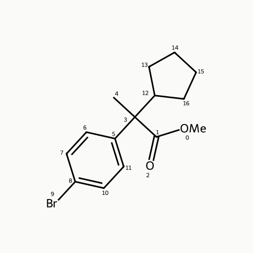 COC(=O)C(C)(c1ccc(Br)cc1)C1CCCC1